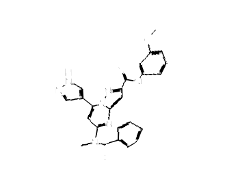 COc1cccc(NC(=O)c2cc3nc(N(C)[C@@H](C)c4ccccc4)cc(-c4cn[nH]c4)n3n2)c1